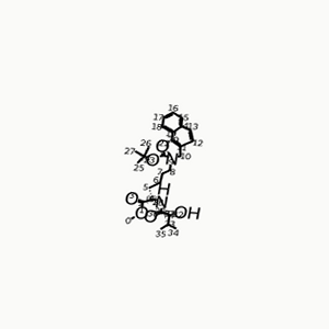 COC(=O)[C@H](CCCCN(Cc1ccc2ccccc2c1)C(=O)OC(C)(C)C)NC(=O)[C@@H](O)C(C)C